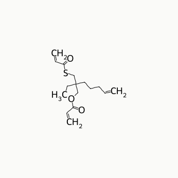 C=CCCCC(CC)(COC(=O)C=C)CSC(=O)C=C